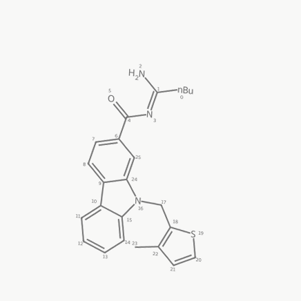 CCCC/C(N)=N/C(=O)c1ccc2c3ccccc3n(Cc3sccc3C)c2c1